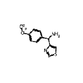 NC(c1ccc(OC(F)(F)F)cc1)c1cs[c]n1